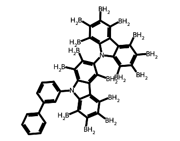 Bc1c(B)c(B)c2c(c1B)c1c(B)c(-n3c4c(B)c(B)c(B)c(B)c4c4c(B)c(B)c(B)c(B)c43)c(B)c(B)c1n2-c1cccc(-c2ccccc2)c1